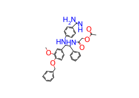 COc1cc([C@H](Nc2ccc(C(=N)N)cc2)[C@@H](NC(=O)COC(C)=O)c2ccccc2)ccc1OCc1ccccc1